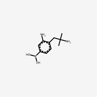 CC(C)(N)Cc1ccc(B(O)O)cc1N